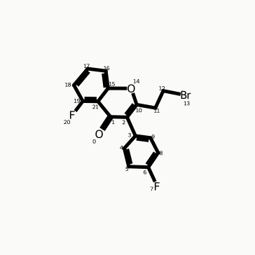 O=c1c(-c2ccc(F)cc2)c(CCBr)oc2cccc(F)c12